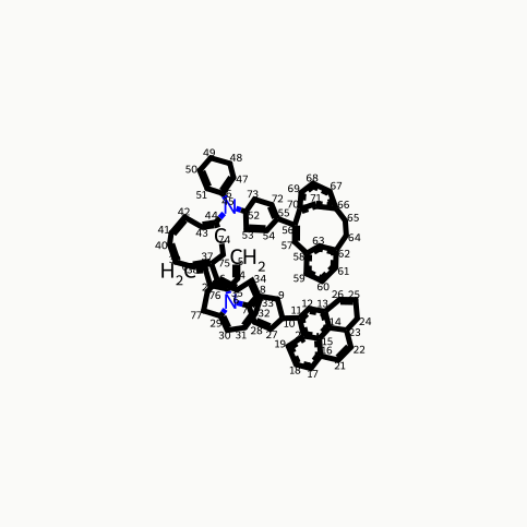 C=C/C=C(\C=C)N(C1=CCC(c2cc3c4c5c(cccc25)C=CC4CC=C3)C=C1)\C1=C/C=C\C=C/C=C(\C2=C\C=C/C=C\C=C(/N(C3=CCCC=C3)C3C=CC(/C4=C/c5cccc(c5)CCc5cccc4c5)=CC3)CC2)CC1